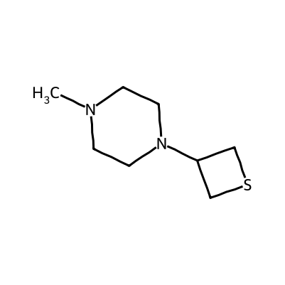 CN1CCN(C2CSC2)CC1